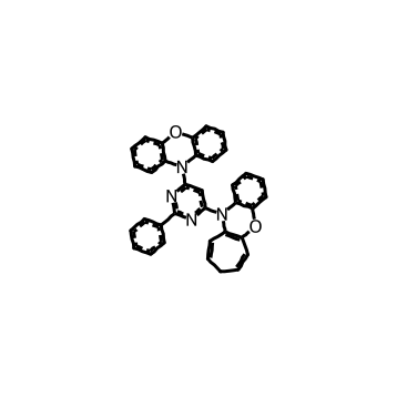 C1=CC2=C(C=CC1)N(c1cc(N3c4ccccc4Oc4ccccc43)nc(-c3ccccc3)n1)c1ccccc1O2